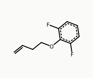 C=CCCOc1c(F)cccc1F